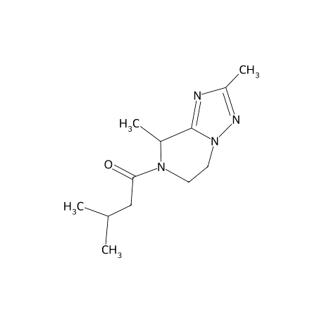 Cc1nc2n(n1)CCN(C(=O)CC(C)C)C2C